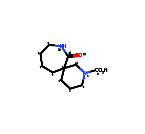 O=C(O)N1CCCC2(CCCCNC2=O)C1